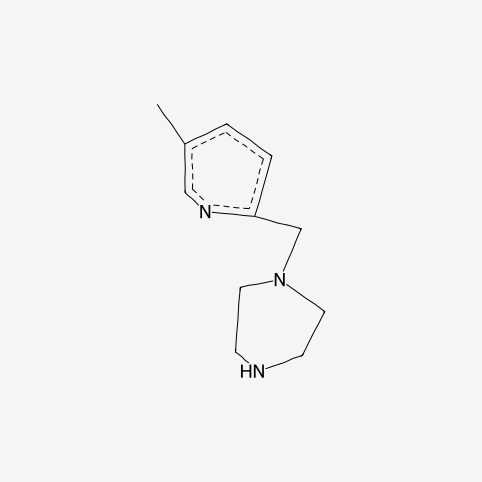 Cc1ccc(CN2CCNCC2)nc1